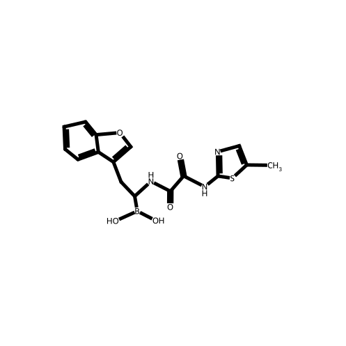 Cc1cnc(NC(=O)C(=O)NC(Cc2coc3ccccc23)B(O)O)s1